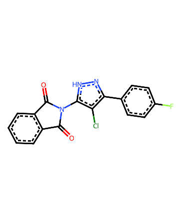 O=C1c2ccccc2C(=O)N1c1[nH]nc(-c2ccc(F)cc2)c1Cl